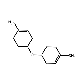 CC1=CCC(OC2CC=C(C)CC2)CC1